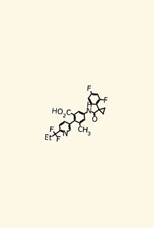 CCC(F)(F)c1ccc(-c2c(C)cc(NC(=O)C3(c4ccc(F)cc4F)CC3)cc2C(=O)O)cn1